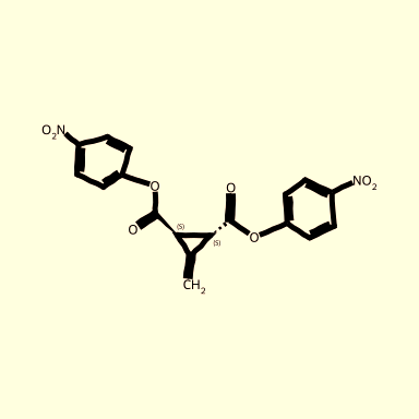 C=C1[C@@H](C(=O)Oc2ccc([N+](=O)[O-])cc2)[C@@H]1C(=O)Oc1ccc([N+](=O)[O-])cc1